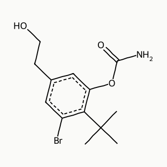 CC(C)(C)c1c(Br)cc(CCO)cc1OC(N)=O